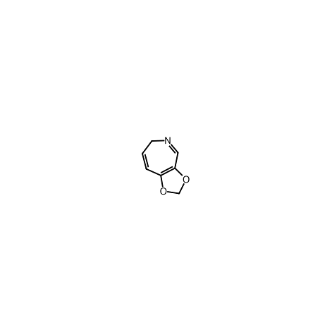 C1=CC2=C(C=NC1)OCO2